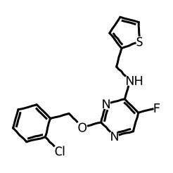 Fc1cnc(OCc2ccccc2Cl)nc1NCc1cccs1